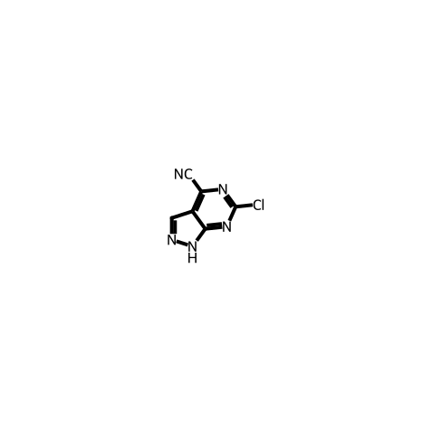 N#Cc1nc(Cl)nc2[nH]ncc12